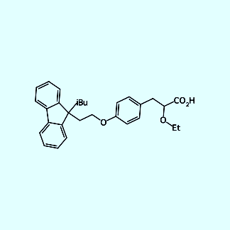 CCOC(Cc1ccc(OCCC2(C(C)CC)c3ccccc3-c3ccccc32)cc1)C(=O)O